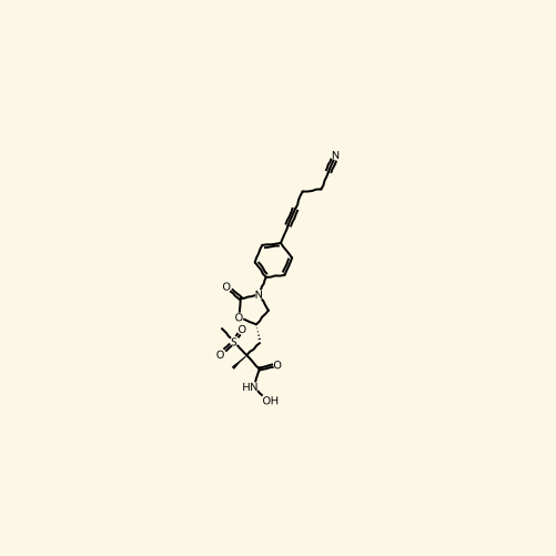 C[C@@](C[C@H]1CN(c2ccc(C#CCCC#N)cc2)C(=O)O1)(C(=O)NO)S(C)(=O)=O